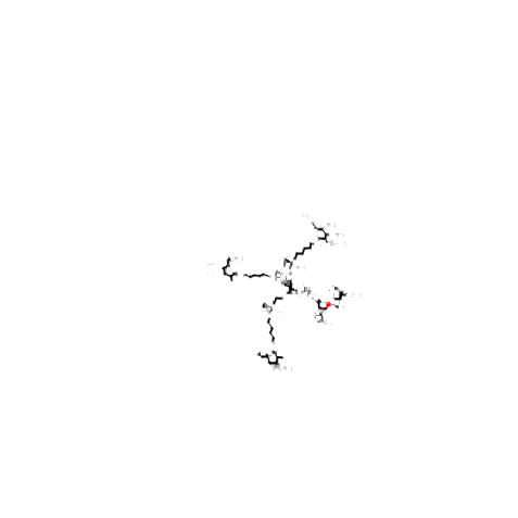 CC(=O)NC1[C@H](OCCCCCCOP(=O)(O)OCOCC(COCCCOP(=O)(O)OCCCCCCO[C@@H]2OC(CO)[C@H](O)[C@H](O)C2C)(COP(=O)(O)OCCCCCCO[C@@H]2OC(CO)[C@H](O)[C@H](O)C2C)COP(=O)(O)OC[C@H]2O[C@@H](n3cnc4c(N)ncnc43)C[C@@H]2OP(C)(=O)O)OC(CO)[C@H](O)[C@@H]1O